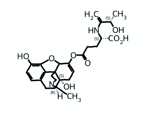 C=C(N[C@@H](CCC(=O)OC1=CC[C@@]2(O)[C@H]3Cc4ccc(O)c5c4C2(CCN3C)C1O5)C(=O)O)[C@H](C)O